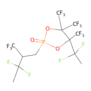 CC(F)(F)C(CP1(=O)OC(C(C)(F)F)(C(F)(F)F)C(C(F)(F)F)(C(F)(F)F)O1)C(F)(F)F